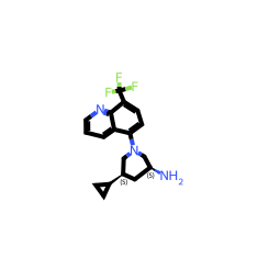 N[C@H]1C[C@@H](C2CC2)CN(c2ccc(C(F)(F)F)c3ncccc23)C1